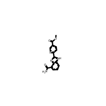 COC(=O)c1ccc(-c2nc3c(C(N)=O)cccc3[nH]2)nc1